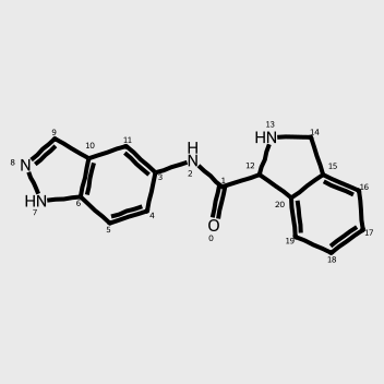 O=C(Nc1ccc2[nH]ncc2c1)C1NCc2ccccc21